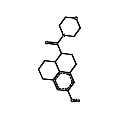 COc1cc2c3c(c1)CCC(C(=O)N1CCOCC1)C3CCC2